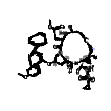 COC(=O)CC1NC(=O)CCC/C=C\[C@@H]2C[C@@]2(C(=O)NS(=O)(=O)C2CC2)NC(=O)[C@@H]2C[C@@H](Oc3cc(-c4ccccc4)nc4cc(OC)ccc34)CN2C1=O